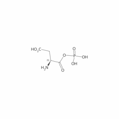 N[C@@H](CC(=O)O)C(=O)OP(=O)(O)O